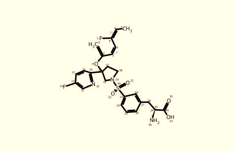 C=C(/C=C\C(F)=C/C)OC1(c2ccc(F)cn2)CCN(S(=O)(=O)c2cccc(C[C@H](N)C(=O)O)c2)C1